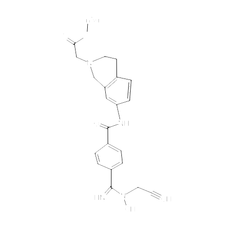 C#CCN(C)C(=N)c1ccc(C(=O)Nc2ccc3c(c2)CN(CC(=O)OCCCC)CC3)cc1